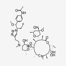 CC[C@H]1OC(=O)[C@H](C)[C@@H](C2C[C@@](C)(OC)[C@@H](O)[C@H](C)O2)[C@H](C)[C@@H](O[C@@H]2O[C@H](C)C[C@H](N(C)CCc3cn([C@H](CF)[C@H](OC)c4ccc(NC(C)=O)cc4)nn3)[C@H]2O)[C@](C)(O)C[C@@H](C)CN(C)[C@H](C)[C@@H](O)[C@]1(C)O